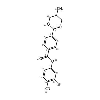 CC1COC(c2ccc(C(=O)Oc3ccc(C#N)c(F)c3)cc2)OC1